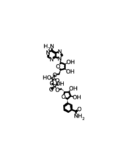 NC(=O)c1cccc([C@@H]2O[C@H](COP(=O)(O)OP(=O)(O)OC[C@H]3O[C@@H](n4cnc5c(N)ncnc54)[C@H](O)[C@@H]3O)[C@@H](O)[C@H]2O)c1